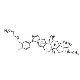 C=CCOCc1cc(-n2ncc3c2C=C2CC[C@@H]4[C@H]([C@@H](O)C[C@@]5(C)[C@H]4CC[C@]5(O)C(=O)NC)[C@@]2(C)C3)ccc1F